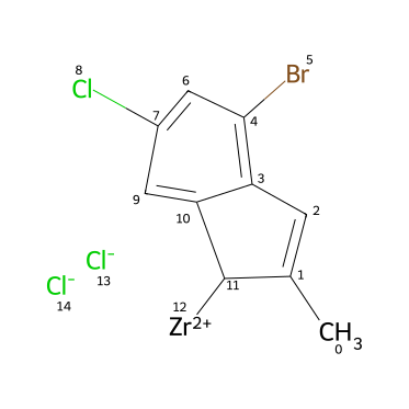 CC1=Cc2c(Br)cc(Cl)cc2[CH]1[Zr+2].[Cl-].[Cl-]